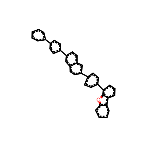 c1ccc(-c2ccc(-c3ccc4cc(-c5ccc(-c6cccc7c6oc6ccccc67)cc5)ccc4c3)cc2)cc1